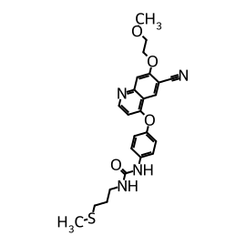 COCCOc1cc2nccc(Oc3ccc(NC(=O)NCCCSC)cc3)c2cc1C#N